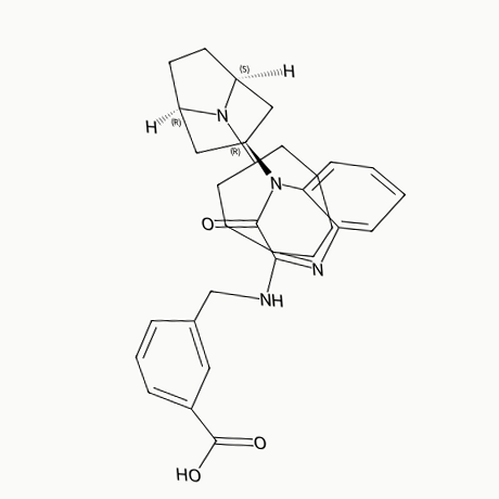 O=C(O)c1cccc(CNc2nc3ccccc3n([C@H]3C[C@H]4CC[C@@H](C3)N4C3CCCCCCC3)c2=O)c1